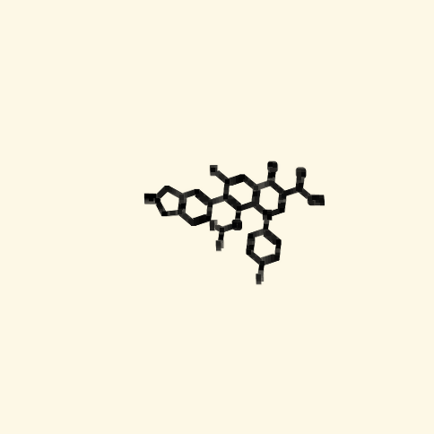 O=C(O)c1cn(-c2ccc(F)cc2)c2c(OC(F)F)c(-c3ccc4c(c3)CNC4)c(F)cc2c1=O